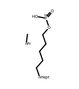 CCCC.CCCCCCCCCCCCO[PH](=O)O